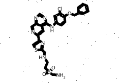 NCS(=O)(=O)CCNCc1nc(-c2cc3c(Nc4ccc(OCc5ccccc5)c(Cl)c4)ncnc3cn2)cs1